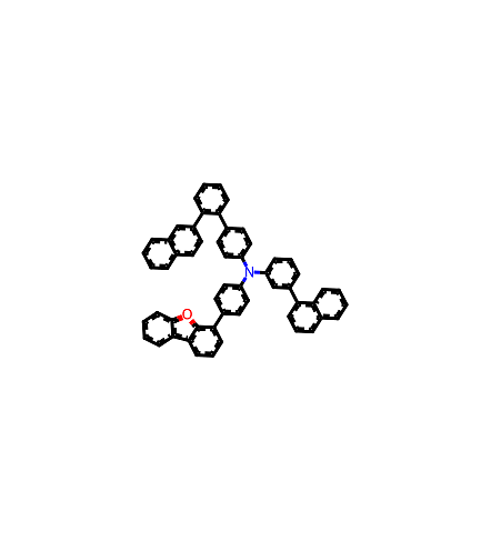 c1cc(-c2cccc3ccccc23)cc(N(c2ccc(-c3ccccc3-c3ccc4ccccc4c3)cc2)c2ccc(-c3cccc4c3oc3ccccc34)cc2)c1